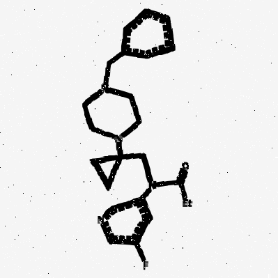 CCC(=O)N(CC1(N2CCN(Cc3ccccc3)CC2)CC1)c1cncc(F)c1